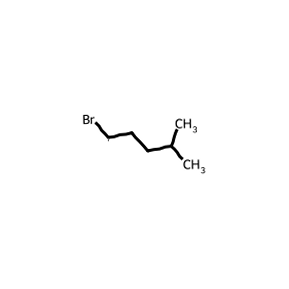 CC(C)CC[CH]Br